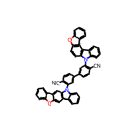 N#Cc1ccc(-c2ccc(C#N)c(-n3c4ccccc4c4c5c(ccc43)oc3ccccc35)c2)cc1-n1c2ccccc2c2cc3oc4ccccc4c3cc21